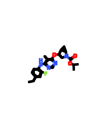 CCc1ccc(Nc2ncnc(OC3CN(C(=O)OC(C)C)C4CC34)c2C)c(F)c1